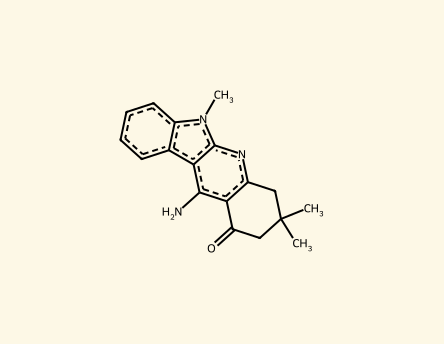 Cn1c2ccccc2c2c(N)c3c(nc21)CC(C)(C)CC3=O